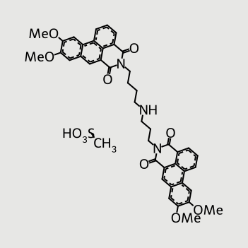 COc1cc2cc3c4c(cccc4c2cc1OC)C(=O)N(CCCCNCCCN1C(=O)c2cccc4c2c(cc2cc(OC)c(OC)cc24)C1=O)C3=O.CS(=O)(=O)O